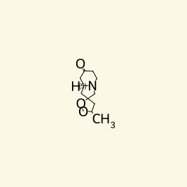 CC1CC2(C[C@H]3CC(=O)CCN3C2)OO1